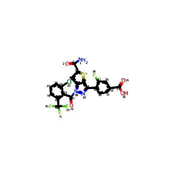 NC(=O)c1cc2c(s1)c(-c1ccc(C(=O)O)cc1F)nn2C(=O)c1c(Cl)cccc1C(F)(F)F